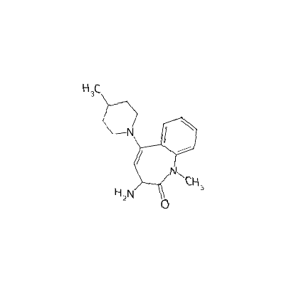 CC1CCN(C2=CC(N)C(=O)N(C)c3ccccc32)CC1